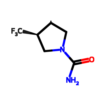 NC(=O)N1C[CH][C@H](C(F)(F)F)C1